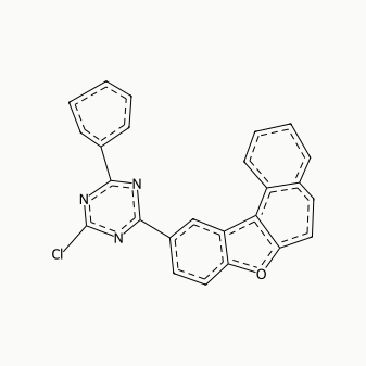 Clc1nc(-c2ccccc2)nc(-c2ccc3oc4ccc5ccccc5c4c3c2)n1